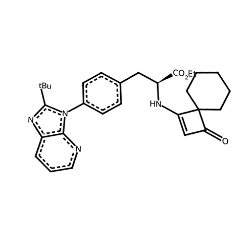 CCOC(=O)[C@H](Cc1ccc(-n2c(C(C)(C)C)nc3cccnc32)cc1)NC1=CC(=O)C12CCCCC2